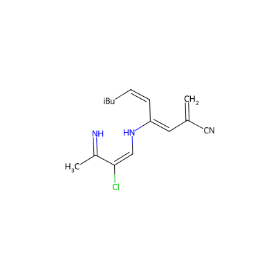 C=C(C#N)/C=C(\C=C/C(C)CC)N/C=C(/Cl)C(C)=N